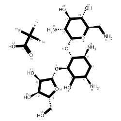 NC[C@H]1O[C@H](O[C@H]2[C@H](O[C@@H]3O[C@H](CO)[C@@H](O)[C@H]3O)C(O)[C@H](N)C[C@@H]2N)[C@H](N)[C@@H](O)[C@@H]1O.O=C(O)C(F)(F)F